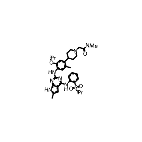 CNC(=O)CN1CCC(c2cc(OC(C)C)c(Nc3nc(Nc4ccccc4S(=O)(=O)C(C)C)c4cc(C)[nH]c4n3)cc2C)CC1